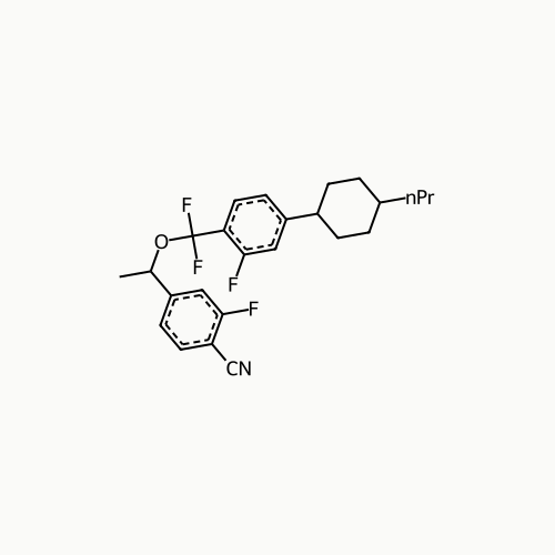 CCCC1CCC(c2ccc(C(F)(F)OC(C)c3ccc(C#N)c(F)c3)c(F)c2)CC1